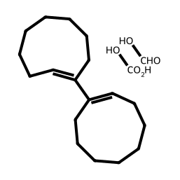 C1=C(\C2=C\CCCCCCC2)CCCCCCC/1.O=C(O)O.O=CO